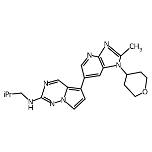 Cc1nc2ncc(-c3ccn4nc(NCC(C)C)ncc34)cc2n1C1CCOCC1